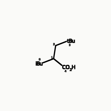 CCC(C)C(CC(C)(C)C)C(=O)O